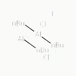 CCC[CH2][Al+2].CCC[CH2][Al+][CH2]CCC.[Cl-].[Cl-].[I-]